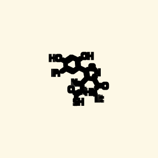 CCNC(=O)c1noc(-c2cc(C(C)C)c(O)cc2O)c1-c1noc(S)n1